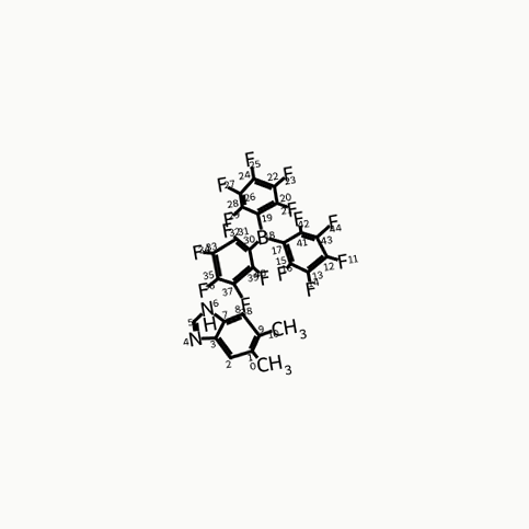 Cc1cc2nc[nH]c2cc1C.Fc1c(F)c(F)c(B(c2c(F)c(F)c(F)c(F)c2F)c2c(F)c(F)c(F)c(F)c2F)c(F)c1F